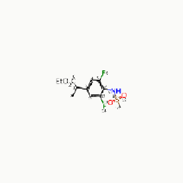 CCOC(=O)C(C)c1cc(F)c(NS(C)(=O)=O)c(F)c1